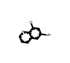 CCCc1cc(Cl)c2ncccc2c1